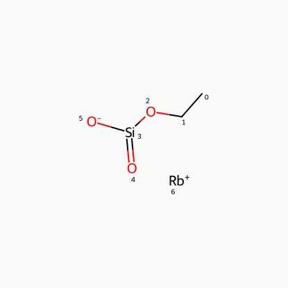 CCO[Si](=O)[O-].[Rb+]